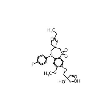 CCCC[C@@]1(CC)CN(c2ccc(F)cc2)c2cc(SC)c(OC[C@@](O)(C=O)CO)cc2S(=O)(=O)C1